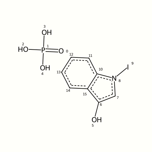 O=P(O)(O)O.Oc1cn(I)c2ccccc12